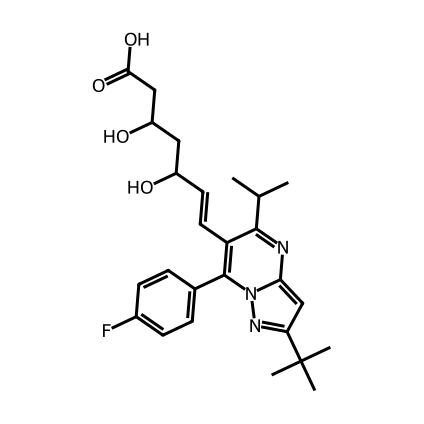 CC(C)c1nc2cc(C(C)(C)C)nn2c(-c2ccc(F)cc2)c1C=CC(O)CC(O)CC(=O)O